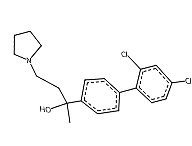 CC(O)(CCN1CCCC1)c1ccc(-c2ccc(Cl)cc2Cl)cc1